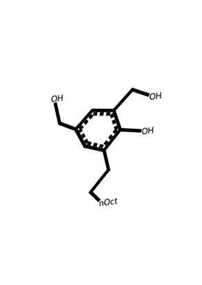 CCCCCCCCCCc1cc(CO)cc(CO)c1O